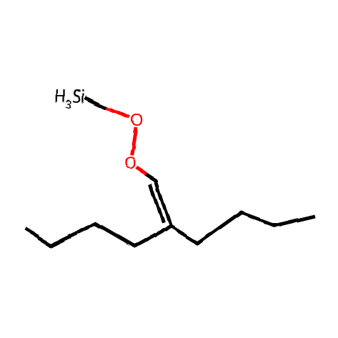 CCCCC(=COO[SiH3])CCCC